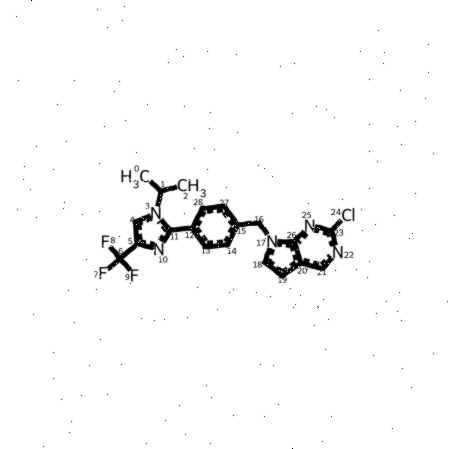 CC(C)n1cc(C(F)(F)F)nc1-c1ccc(Cn2ccc3cnc(Cl)nc32)cc1